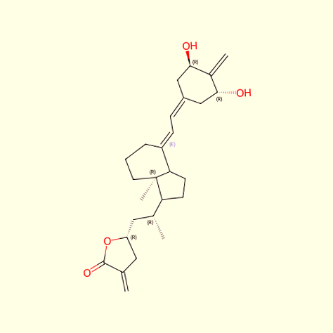 C=C1C[C@@H](C[C@@H](C)C2CCC3/C(=C/C=C4C[C@@H](O)C(=C)[C@H](O)C4)CCC[C@@]32C)OC1=O